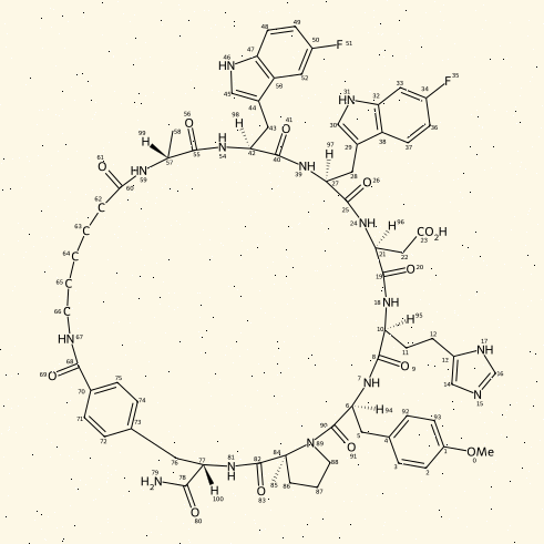 COc1ccc(C[C@@H]2NC(=O)[C@H](CCc3cnc[nH]3)NC(=O)[C@H](CC(=O)O)NC(=O)[C@H](Cc3c[nH]c4cc(F)ccc34)NC(=O)[C@H](Cc3c[nH]c4ccc(F)cc34)NC(=O)[C@@H](C)NC(=O)CCCCCNC(=O)c3ccc(cc3)C[C@@H](C(N)=O)NC(=O)[C@]3(C)CCCN3C2=O)cc1